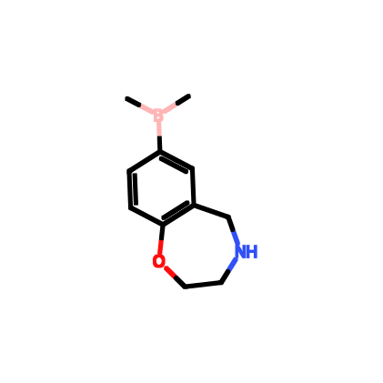 CB(C)c1ccc2c(c1)CNCCO2